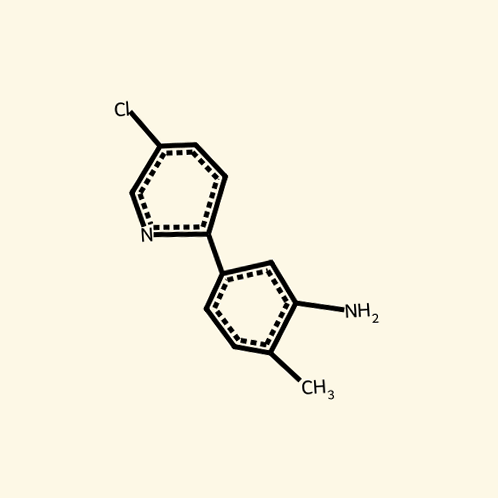 Cc1ccc(-c2ccc(Cl)cn2)cc1N